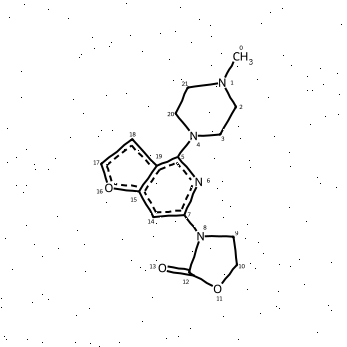 CN1CCN(c2nc(N3CCOC3=O)cc3occc23)CC1